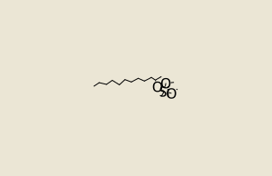 CCCCCCCCCCC(C)O[Si](C)(OC)OC